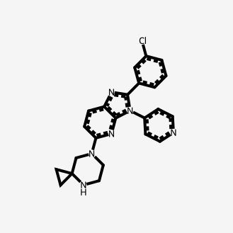 Clc1cccc(-c2nc3ccc(N4CCNC5(CC5)C4)nc3n2-c2ccncc2)c1